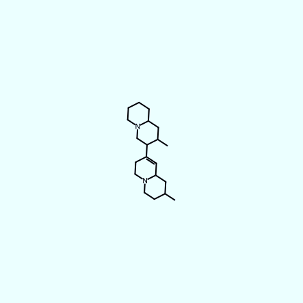 CC1CCN2CCC(C3CN4CCCCC4CC3C)=CC2C1